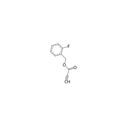 C#CC(=O)OCc1ccccc1F